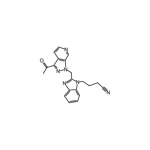 CC(=O)c1nn(Cc2nc3ccccc3n2CCCC#N)c2cnccc12